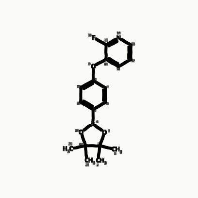 CC1(C)OB(c2ccc(Oc3cccnc3F)cc2)OC1(C)C